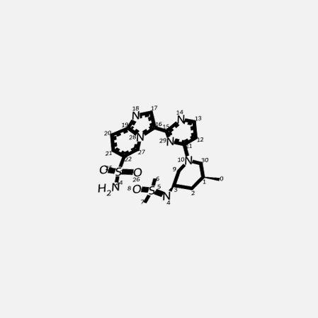 C[C@H]1C[C@@H](N=S(C)(C)=O)CN(c2ccnc(-c3cnc4ccc(S(N)(=O)=O)cn34)n2)C1